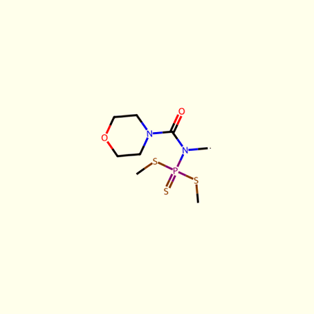 [CH2]N(C(=O)N1CCOCC1)P(=S)(SC)SC